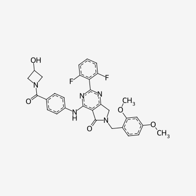 COc1ccc(CN2Cc3nc(-c4c(F)cccc4F)nc(Nc4ccc(C(=O)N5CC(O)C5)cc4)c3C2=O)c(OC)c1